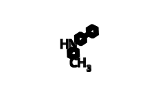 CC1=CC=C(Nc2ccc(-c3ccccc3)cc2)CC1